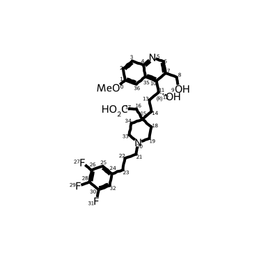 COc1ccc2ncc(CO)c([C@H](O)CCC3(CC(=O)O)CCN(CCCc4cc(F)c(F)c(F)c4)CC3)c2c1